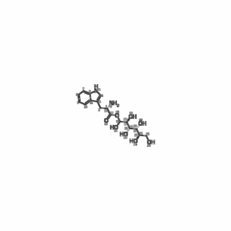 N[C@@H](Cc1c[nH]c2ccccc12)C(=O)OC(O)[C@@H](O)[C@@H](O)[C@H](O)[C@H](O)CO